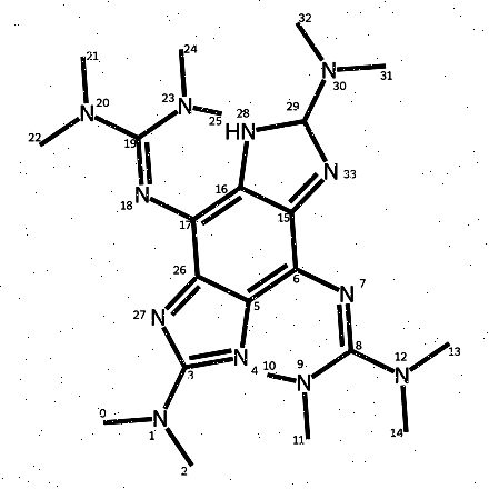 CN(C)C1=Nc2c(N=C(N(C)C)N(C)C)c3c(c(N=C(N(C)C)N(C)C)c2=N1)NC(N(C)C)N=3